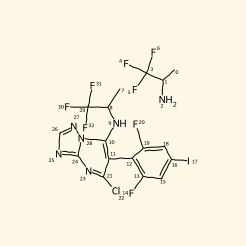 CC(N)C(F)(F)F.CC(Nc1c(-c2c(F)cc(I)cc2F)c(Cl)nc2ncnn12)C(F)(F)F